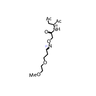 COCCOCC/C=N/OCC(=O)N[C@@H](CC(C)=O)C(C)=O